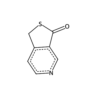 O=C1SCc2ccncc21